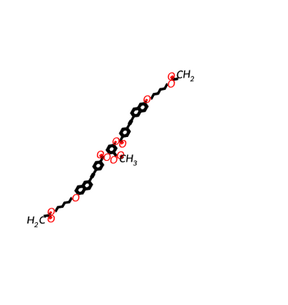 C=CC(=O)OCCCCCCOc1ccc2cc(C#Cc3ccc(C(=O)Oc4ccc(OC(=O)c5ccc(C#Cc6ccc7cc(OCCCCCCOC(=O)C=C)ccc7c6)cc5)c(C(=O)OC)c4)cc3)ccc2c1